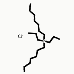 CCCCCCC[P+](CCC)(CCC)CCCCCCC.[Cl-]